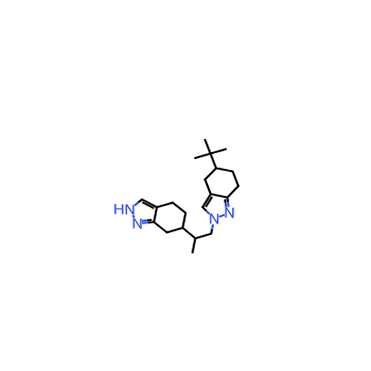 CC(Cn1cc2c(n1)CCC(C(C)(C)C)C2)C1CCc2c[nH]nc2C1